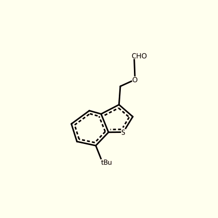 CC(C)(C)c1cccc2c(COC=O)csc12